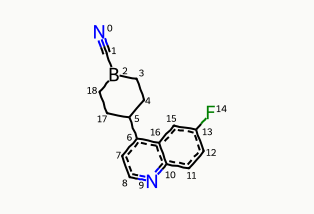 N#CB1CCC(c2ccnc3ccc(F)cc23)CC1